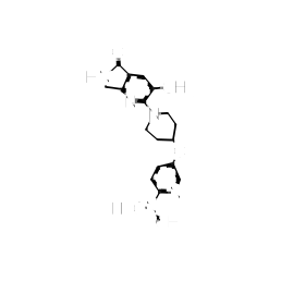 Cc1cc2c(nc1N1CCC(Oc3ccc(N(C)C)nc3)CC1)CNC2=O